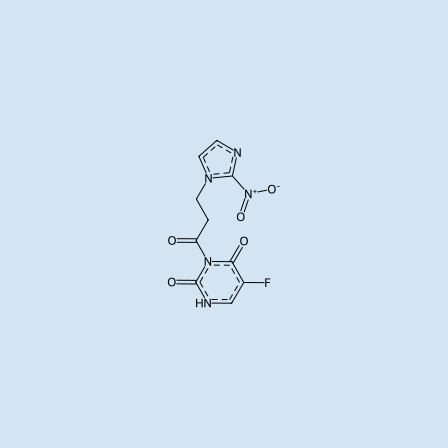 O=C(CCn1ccnc1[N+](=O)[O-])n1c(=O)[nH]cc(F)c1=O